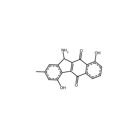 Cc1cc(O)c2c(c1)C(N)C1=C2C(=O)c2cccc(O)c2C1=O